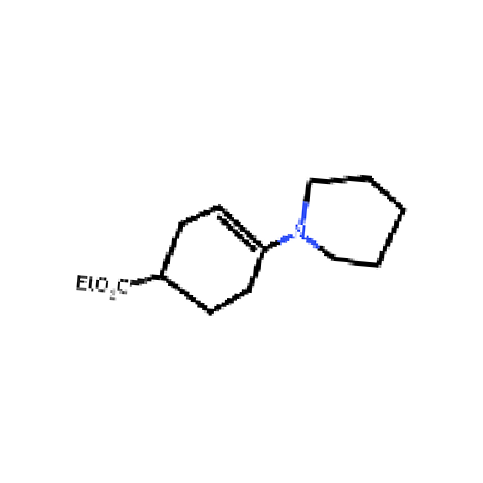 CCOC(=O)C1CC=C(N2CCCCC2)CC1